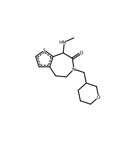 CNC1C(=O)N(CC2CCCOC2)CCc2ccsc21